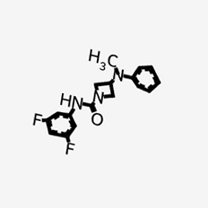 CN(c1ccccc1)C1CN(C(=O)Nc2cc(F)cc(F)c2)C1